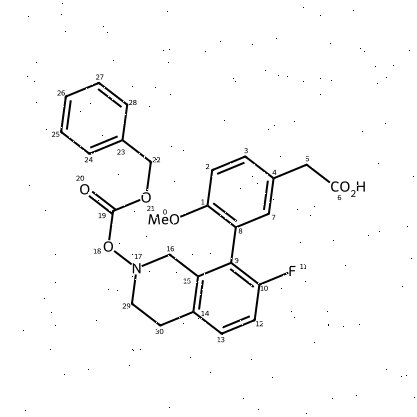 COc1ccc(CC(=O)O)cc1-c1c(F)ccc2c1CN(OC(=O)OCc1ccccc1)CC2